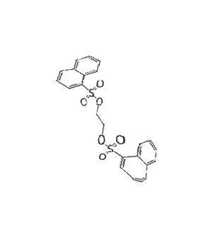 O=S(=O)(OCCOS(=O)(=O)c1cccc2ccccc12)c1cccc2ccccc12